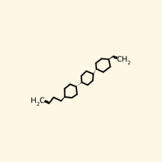 C=CCC[C@H]1CC[C@H](C2CCC([C@H]3CC[C@H](C=C)CC3)CC2)CC1